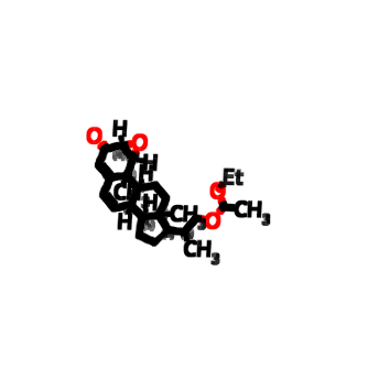 CCOC(C)OC[C@@H](C)[C@H]1CC[C@H]2[C@@H]3C=CC4=CC(=O)[C@@H]5O[C@@H]5[C@]4(C)[C@H]3CC[C@]12C